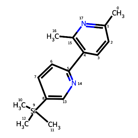 Cc1ccc(-c2ccc([Si](C)(C)C)cn2)c(C)n1